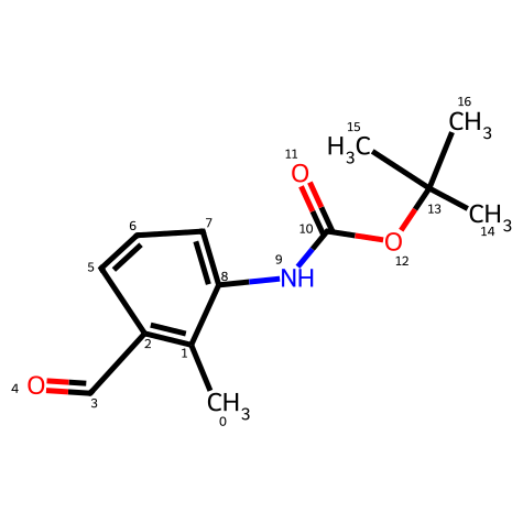 Cc1c(C=O)cccc1NC(=O)OC(C)(C)C